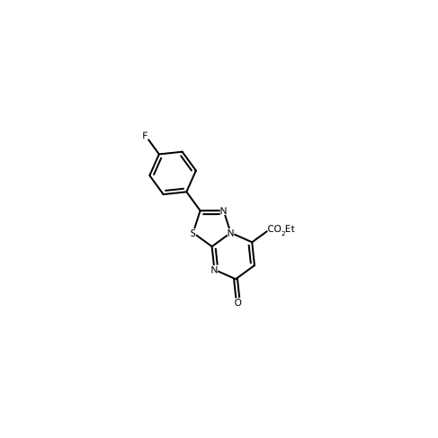 CCOC(=O)c1cc(=O)nc2sc(-c3ccc(F)cc3)nn12